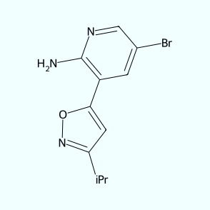 CC(C)c1cc(-c2cc(Br)cnc2N)on1